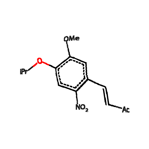 COc1cc(/C=C/C(C)=O)c([N+](=O)[O-])cc1OC(C)C